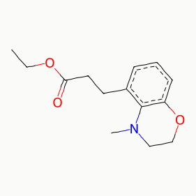 CCOC(=O)CCc1cccc2c1N(C)CCO2